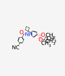 CC1(C)OB(c2ccc(C3(NC(=O)c4ccc(C#N)cc4)CCC3)cc2)OC1(C)C